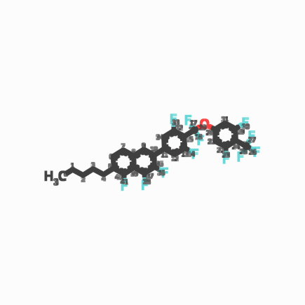 CCCCCc1ccc2cc(-c3cc(F)c(C(F)(F)Oc4cc(F)c(C(F)(F)F)c(F)c4)c(F)c3)c(F)c(F)c2c1F